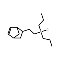 CCC[Si](Cl)(CCC)CCC1CC2C=CC1C2